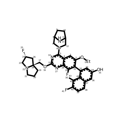 CCOc1cc2c(N3CC4CCC(C3)N4)nc(OC[C@@]34CCCN3C[C@H](F)C4)nc2c(F)c1-c1cc(O)cc2ccc(F)c(C)c12